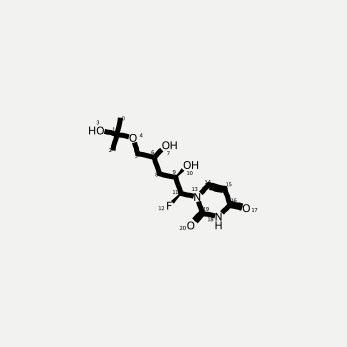 CC(C)(O)OCC(O)C[C@@H](O)[C@H](F)n1ccc(=O)[nH]c1=O